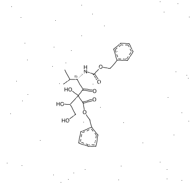 CC(C)[C@H](NC(=O)OCc1ccccc1)C(=O)C(O)(C(=O)OCc1ccccc1)C(O)CO